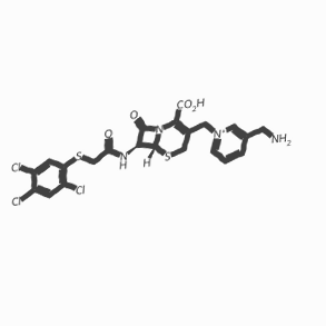 NCc1ccc[n+](CC2=C(C(=O)O)N3C(=O)[C@H](NC(=O)CSc4cc(Cl)c(Cl)cc4Cl)[C@H]3SC2)c1